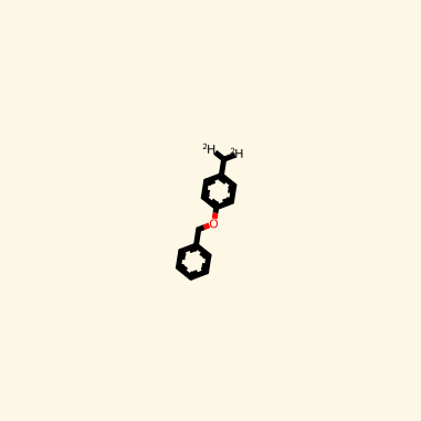 [2H]C([2H])c1ccc(OCc2ccccc2)cc1